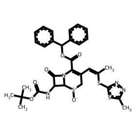 CC(=CC1=C(C(=O)OC(c2ccccc2)c2ccccc2)N2C(=O)C(NC(=O)OC(C)(C)C)C2[S+]([O-])C1)Sc1nnc(C)s1